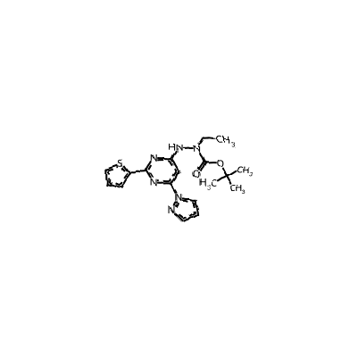 CCN(Nc1cc(-n2cccn2)nc(-c2cccs2)n1)C(=O)OC(C)(C)C